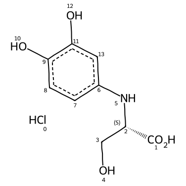 Cl.O=C(O)[C@H](CO)Nc1ccc(O)c(O)c1